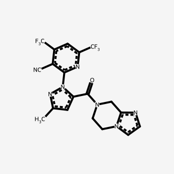 Cc1cc(C(=O)N2CCn3ccnc3C2)n(-c2nc(C(F)(F)F)cc(C(F)(F)F)c2C#N)n1